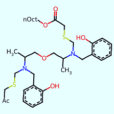 CCCCCCCCOC(=O)CSCN(Cc1ccccc1O)C(C)COCC(C)N(CSCC(C)=O)Cc1ccccc1O